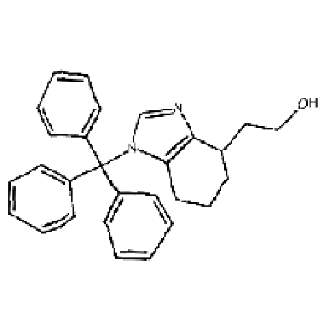 OCCC1CCCc2c1ncn2C(c1ccccc1)(c1ccccc1)c1ccccc1